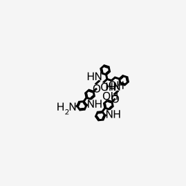 Nc1ccc2[nH]c3cc(OCCNc4ccccc4C(CO)C(O)Cc4ccccc4NCCOc4cc5[nH]c6ccccc6c5cc4O)ccc3c2c1